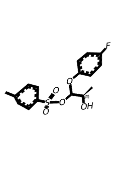 Cc1ccc(S(=O)(=O)OC(Oc2ccc(F)cc2)[C@@H](C)O)cc1